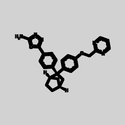 Nc1nnc(-c2ccc([C@@]3(c4ccc(OCc5ncccn5)cc4)C[C@@H]4CC[C@H]3C4)cc2)o1